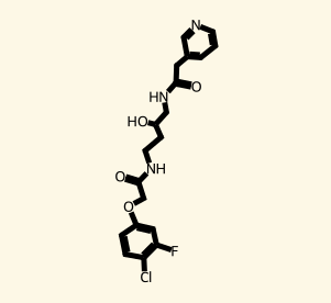 O=C(COc1ccc(Cl)c(F)c1)NCCC(O)CNC(=O)Cc1cccnc1